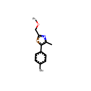 Cc1nc(COC(C)C)sc1-c1ccc(C(C)(C)C)cc1